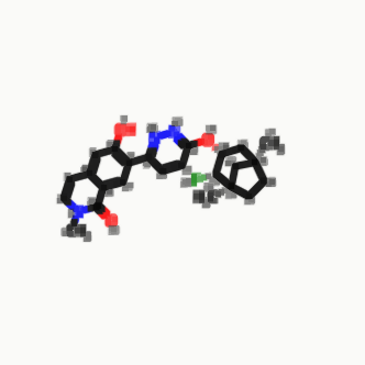 Cn1ccc2cc(O)c(-c3ccc(O[C@@H]4C[C@@]5(C)CC[C@](C)(C5)[C@@H]4F)nn3)cc2c1=O